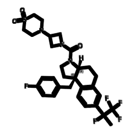 CC(F)(c1ccc2c(c1)CC[C@H]1N(C(=O)N3CC(N4CCS(=O)(=O)CC4)C3)CC[C@@]21Cc1ccc(F)cc1)C(F)(F)F